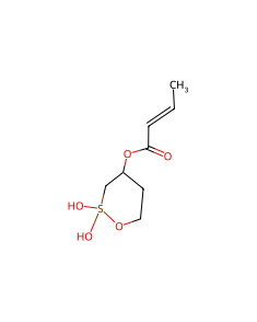 C/C=C/C(=O)OC1CCOS(O)(O)C1